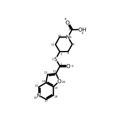 O=C(SC1CCN(C(=O)O)CC1)c1cc2cnccc2o1